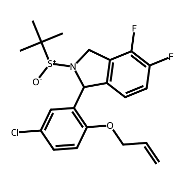 C=CCOc1ccc(Cl)cc1C1c2ccc(F)c(F)c2CN1[S+]([O-])C(C)(C)C